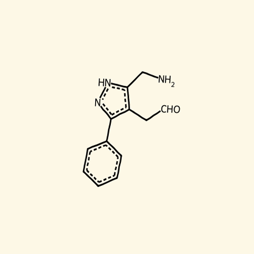 NCc1[nH]nc(-c2ccccc2)c1CC=O